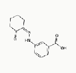 O=C1CCCCC1=NNc1cccc(C(=O)O)c1